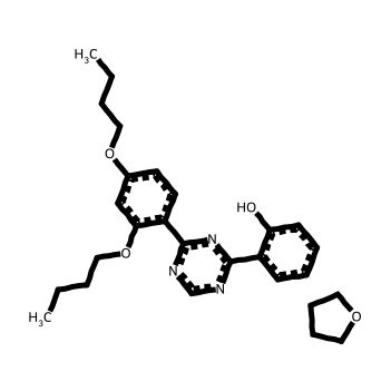 C1CCOC1.CCCCOc1ccc(-c2ncnc(-c3ccccc3O)n2)c(OCCCC)c1